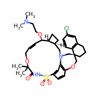 CN(C)CCO[C@@H]1C=CCOC(C)(C)C(=O)NS(=O)(=O)c2ccc3c(c2)N(C[C@@H]2CC[C@H]21)C[C@@]1(CCCc2cc(Cl)ccc21)CO3